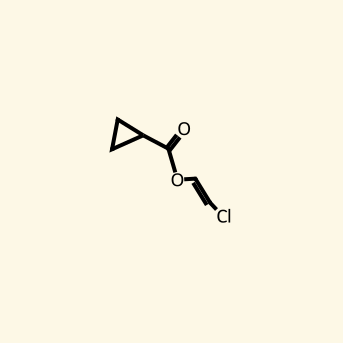 O=C(OC=CCl)C1CC1